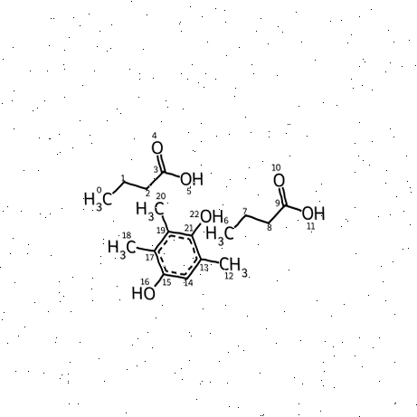 CCCC(=O)O.CCCC(=O)O.Cc1cc(O)c(C)c(C)c1O